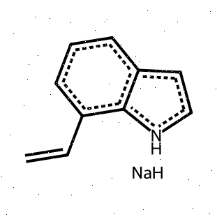 C=Cc1cccc2cc[nH]c12.[NaH]